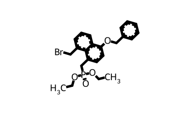 CCOP(=O)(Cc1ccc(OCc2ccccc2)c2cccc(CBr)c12)OCC